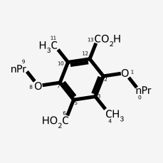 CCCOc1c(C)c(C(=O)O)c(OCCC)c(C)c1C(=O)O